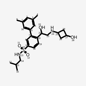 Cc1cc(C)cc(-c2cc(S(=O)(=O)NCC(C)C)ccc2C(O)CNC2CC(O)C2)c1